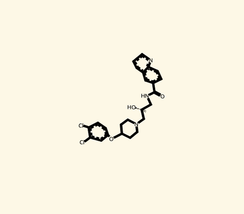 O=C(NC[C@@H](O)CN1CCC(Oc2ccc(Cl)c(Cl)c2)CC1)c1ccc2ncccc2c1